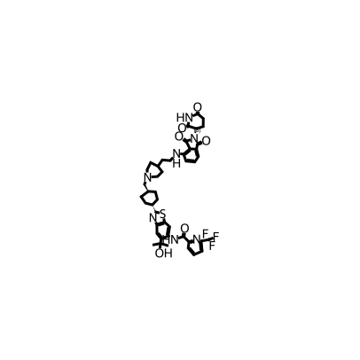 CC(C)(O)c1cc2nc([C@H]3CC[C@H](CN4CCC(CCNc5cccc6c5C(=O)N([C@H]5CCC(=O)NC5=O)C6=O)CC4)CC3)sc2cc1NC(=O)c1cccc(C(F)(F)F)n1